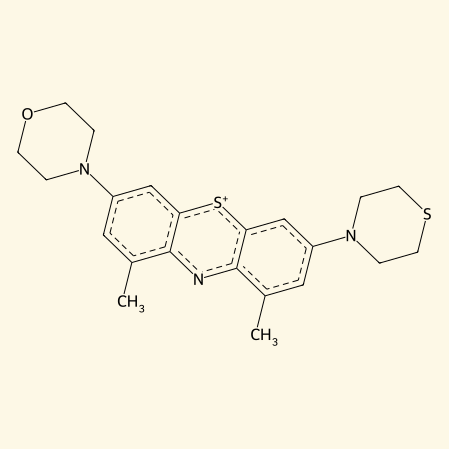 Cc1cc(N2CCOCC2)cc2[s+]c3cc(N4CCSCC4)cc(C)c3nc12